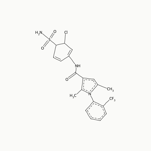 Cc1cc(C(=O)NC2=CC(Cl)C(S(N)(=O)=O)C=C2)c(C)n1-c1ccccc1C(F)(F)F